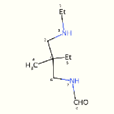 CCNCC(C)(CC)CNC=O